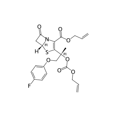 C=CCOC(=O)O[C@](C)(COc1ccc(F)cc1)C1=C(C(=O)OCC=C)N2C(=O)C[C@H]2S1